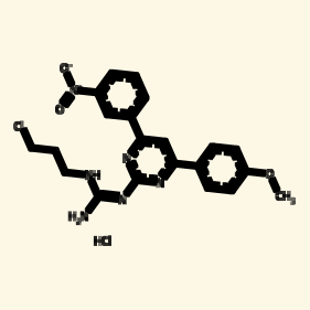 COc1ccc(-c2cc(-c3cccc([N+](=O)[O-])c3)nc(N=C(N)NCCCCl)n2)cc1.Cl